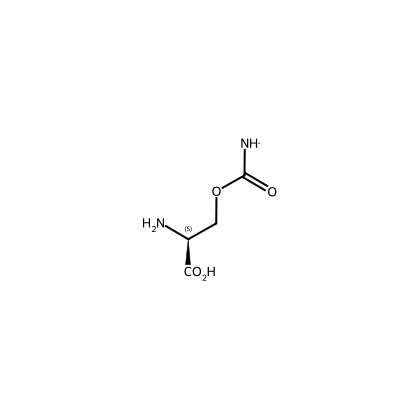 [NH]C(=O)OC[C@H](N)C(=O)O